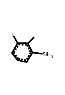 Cc1c([SiH3])cccc1I